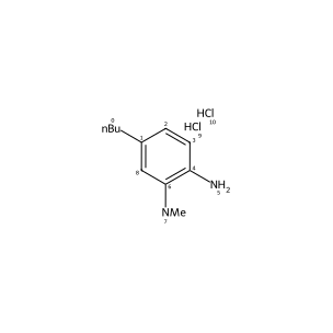 CCCCc1ccc(N)c(NC)c1.Cl.Cl